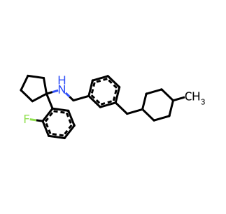 CC1CCC(Cc2cccc(CNC3(c4ccccc4F)CCCC3)c2)CC1